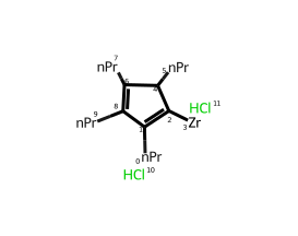 CCCC1=[C]([Zr])C(CCC)C(CCC)=C1CCC.Cl.Cl